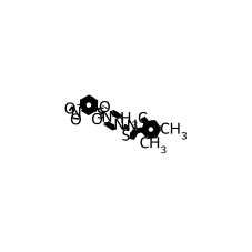 Cc1cc(C)c(-c2csc(N3CCN(S(=O)(=O)c4cccc([N+](=O)[O-])c4)CC3)n2)c(C)c1